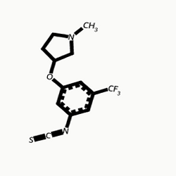 CN1CCC(Oc2cc(N=C=S)cc(C(F)(F)F)c2)C1